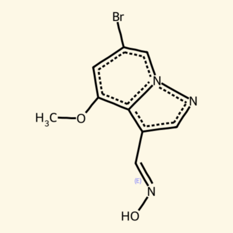 COc1cc(Br)cn2ncc(/C=N/O)c12